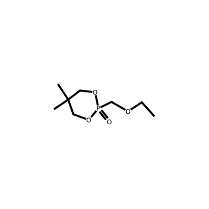 CCOCP1(=O)OCC(C)(C)CO1